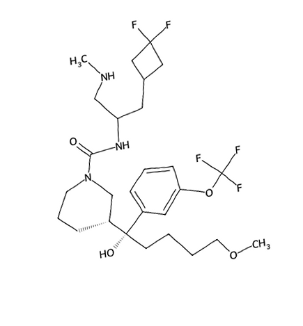 CNCC(CC1CC(F)(F)C1)NC(=O)N1CCC[C@@H]([C@](O)(CCCCOC)c2cccc(OC(F)(F)F)c2)C1